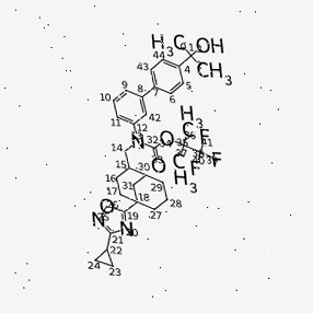 CC(C)(O)c1ccc(-c2cccc(N(CC3CCC4(c5nc(C6CC6)no5)CCCC3C4)C(=O)OC(C)(C)C(F)(F)F)c2)cc1